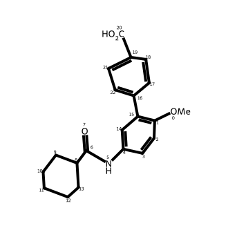 COc1ccc(NC(=O)C2CCCCC2)cc1-c1ccc(C(=O)O)cc1